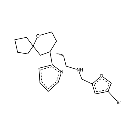 Brc1coc(CNCC[C@@]2(c3ccccn3)CCOC3(CCCC3)C2)c1